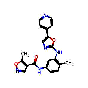 Cc1ccc(NC(=O)c2cnoc2C)cc1Nc1ncc(-c2ccncc2)o1